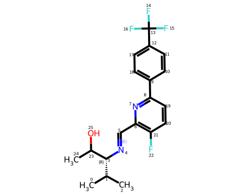 CC(C)[C@@H](/N=C/c1nc(-c2ccc(C(F)(F)F)cc2)ccc1F)C(C)O